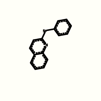 c1ccc([Se]c2ccc3ccccc3n2)cc1